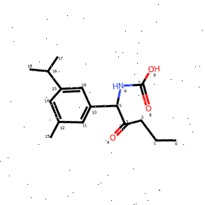 CCCC(=O)C(NC(=O)O)c1cc(C)cc(C(C)C)c1